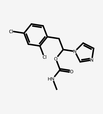 CNC(=O)OC(Cc1ccc(Cl)cc1Cl)n1ccnc1